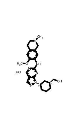 COc1cc2c(cc1Nc1ncc3cnn([C@H]4CCC[C@H](CO)C4)c3n1)CN(C)CC2.Cl